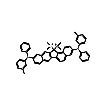 Cc1cccc(N(c2ccccc2)c2ccc3cc4c(cc3c2)C([Si](C)(C)C)([Si](C)(C)C)c2c-4ccc3cc(N(c4ccccc4)c4cccc(C)c4)ccc23)c1